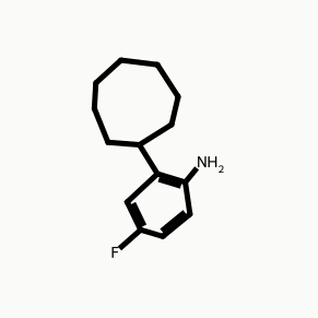 Nc1ccc(F)cc1C1CCCCCCC1